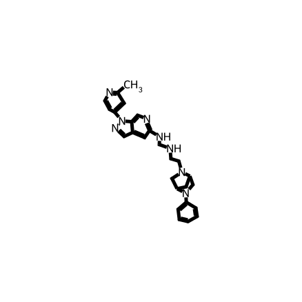 Cc1cc(-n2ncc3cc(NCNCCN4CC5CC4CN5c4ccccc4)ncc32)ccn1